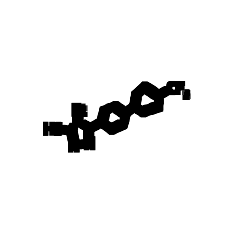 CCn1c(S)nnc1-c1ccc(-c2ccc(C(F)(F)F)cc2)cc1